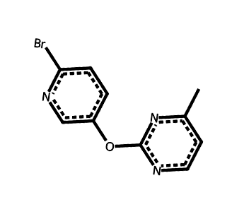 Cc1ccnc(Oc2ccc(Br)nc2)n1